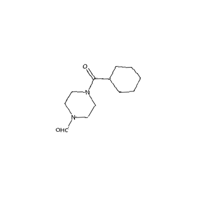 O=CN1CCN(C(=O)C2CCCCC2)CC1